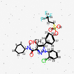 Cc1c(C(=O)N(O)C2CCCCC2)nn(-c2ccccc2Cl)c1-c1ccc(OS(=O)(=O)CCC(F)(F)F)cc1